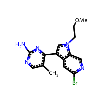 COCCn1cc(-c2nc(N)ncc2C)c2cc(Br)ncc21